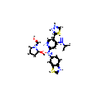 CC(C)Nc1cc(Nc2ccc3ncsc3c2)ncc1-c1nncs1.O=CN1CCCC1O